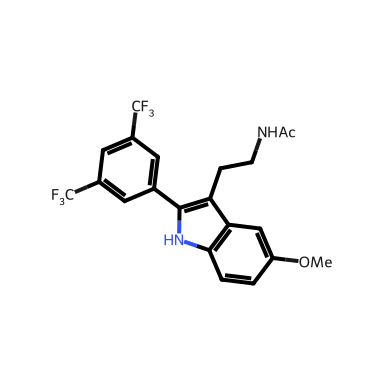 COc1ccc2[nH]c(-c3cc(C(F)(F)F)cc(C(F)(F)F)c3)c(CCNC(C)=O)c2c1